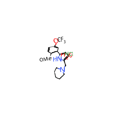 COc1ccc(OC(F)(F)F)cc1-c1ccc(CN2CCCCC2)[nH]1.Cl.O